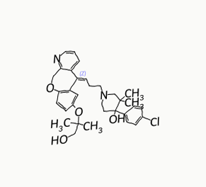 CC(C)(CO)Oc1ccc2c(c1)/C(=C\CCN1CCC(O)(c3ccc(Cl)cc3)C(C)(C)C1)c1cccnc1CO2